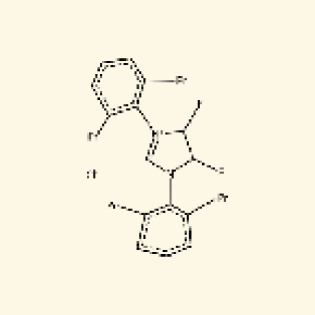 CC(C)c1cccc(C(C)C)c1N1C=[N+](c2c(C(C)C)cccc2C(C)C)C(F)C1F.[Cl-]